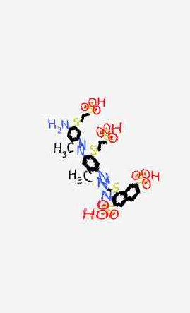 Cc1cc(N=Nc2cc(SCCCS(=O)(=O)O)c(N)cc2C)c(SCCCS(=O)(=O)O)cc1N=Nc1nc2c(S(=O)(=O)O)cc3ccc(S(=O)(=O)O)cc3c2s1